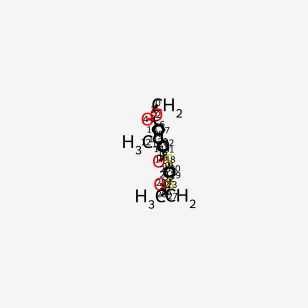 C=COC(=O)c1ccc2c(c1)C(C)c1cc(C(=O)Sc3ccc(SC(=O)C(=C)C)cc3)ccc1-2